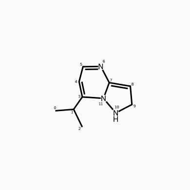 CC(C)C1=CC=NC2=CCNN21